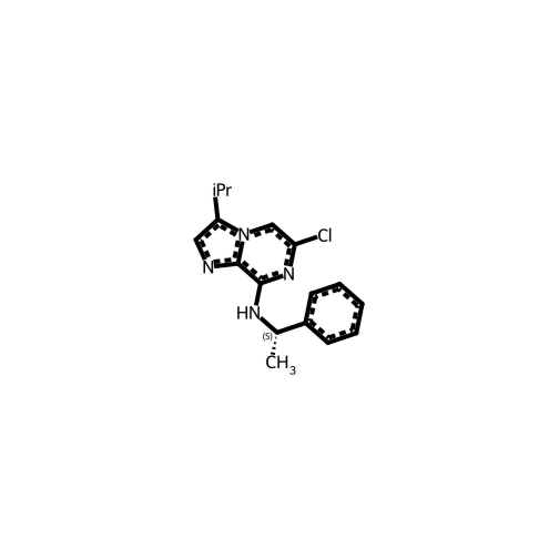 CC(C)c1cnc2c(N[C@@H](C)c3ccccc3)nc(Cl)cn12